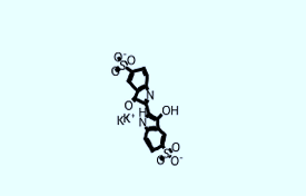 O=C1C(c2[nH]c3ccc(S(=O)(=O)[O-])cc3c2O)=Nc2ccc(S(=O)(=O)[O-])cc21.[K+].[K+]